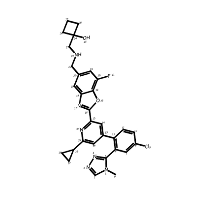 Cn1cnnc1-c1cc(Cl)ccc1-c1cc(-c2nc3cc(CNCC4(O)CCC4)cc(F)c3o2)nc(C2CC2)c1